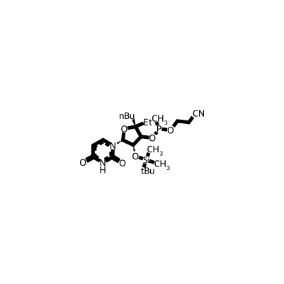 CCCC[C@]1(CC)O[C@@H](n2ccc(=O)[nH]c2=O)[C@@H](O[Si](C)(C)C(C)(C)C)C1OP(C)OCCC#N